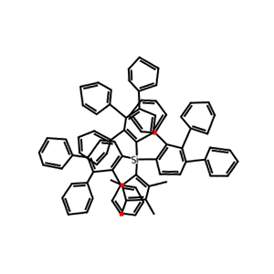 CC1=C(C)C(C)C([Si](c2ccc(-c3ccccc3)c(-c3ccccc3)c2-c2ccccc2)(c2ccc(-c3ccccc3)c(-c3ccccc3)c2-c2ccccc2)c2ccc(-c3ccccc3)c(-c3ccccc3)c2-c2ccccc2)=C1C